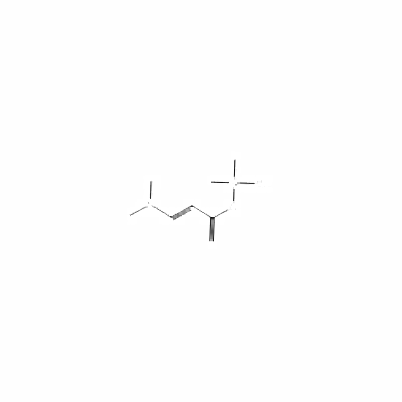 C=C(C=CN(C)C)O[Si](C)(C)C(C)(C)C